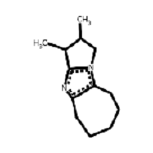 CC1Cn2c(nc3c2CCCCC3)C1C